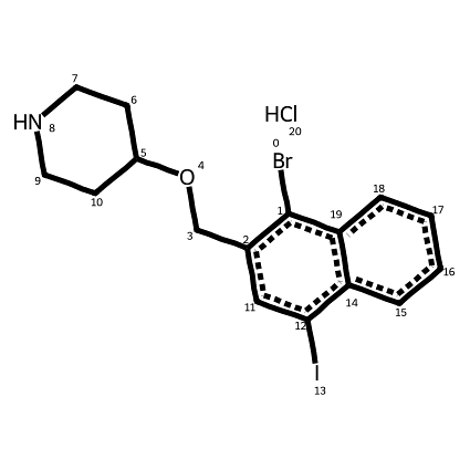 Brc1c(COC2CCNCC2)cc(I)c2ccccc12.Cl